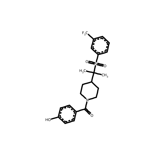 CC(C)(C1CCN(C(=O)c2ccc(O)cc2)CC1)S(=O)(=O)c1cccc(C(F)(F)F)c1